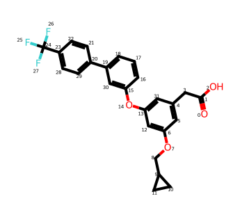 O=C(O)Cc1cc(OCC2CC2)cc(Oc2cccc(-c3ccc(C(F)(F)F)cc3)c2)c1